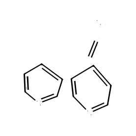 C=S.[NaH].c1ccncc1.c1ccncc1